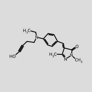 CCN(CCC#CO)c1ccc(C=C2C(=O)N(C)N=C2C)cc1